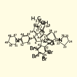 Cc1ccc(C(=CC2(C=C(c3ccc(C)cc3)c3ccc(N4CCCCC4)cc3)OC(=O)c3c(Br)c(Br)c(Br)c(Br)c32)c2ccc(N3CCCCC3)cc2)cc1